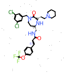 O=C(/C=C/c1ccc(OC(F)(F)F)cc1)NC[C@@H]1CCN(Cc2cc(Cl)cc(Cl)c2)C(=O)[C@H](CCN2CCCCC2)N1